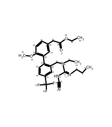 CCC/N=C(/NC#N)N(CC)Cc1cc(C(F)(F)F)ccc1-c1cc(CC(=O)OCC)ccc1OC